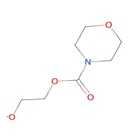 [O]CCOC(=O)N1CCOCC1